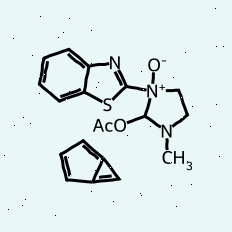 CC(=O)OC1N(C)CC[N+]1([O-])c1nc2ccccc2s1.c1cc2cc-2c1